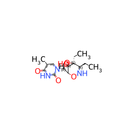 CC[C@H]1NOC2[C@H](n3cc(C)c(=O)[nH]c3=O)O[C@]1(CC)[C@@H]2O